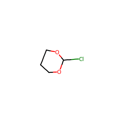 ClC1OCCCO1